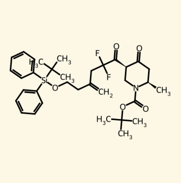 C=C(CCO[Si](c1ccccc1)(c1ccccc1)C(C)(C)C)CC(F)(F)C(=O)[C@@H]1CN(C(=O)OC(C)(C)C)[C@H](C)CC1=O